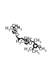 COc1cc(C(C)C)cc(C(C)[C@@H](C)Oc2ccn(C(C)(C)CC3CC3COc3ccn(C(C)(C)C)n3)n2)c1